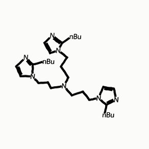 CCCCc1nccn1CCCN(CCCn1ccnc1CCCC)CCCn1ccnc1CCCC